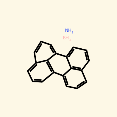 B.N.c1cc2cccc3c4cccc5cccc(c(c1)c23)c54